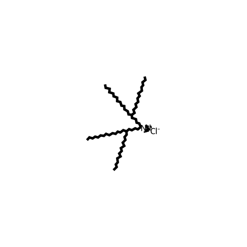 CCCCCCCCCCCCCCC(CCCCCCCCCCCCCC)CCCCC(CCCCC(CCCCCCCCCCCCCC)CCCCCCCCCCCCCC)[n+]1ccn(C)c1.[Cl-]